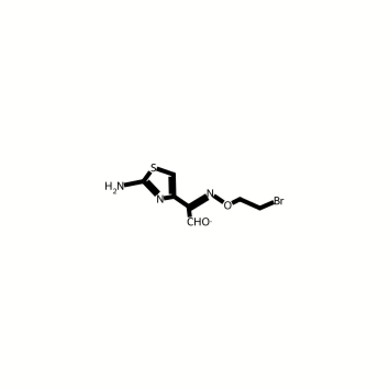 Nc1nc(/C([C]=O)=N/OCCBr)cs1